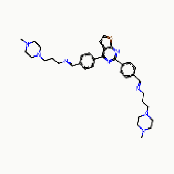 CN1CCN(CCCN=Cc2ccc(-c3nc(-c4ccc(C=NCCCN5CCN(C)CC5)cc4)c4ccsc4n3)cc2)CC1